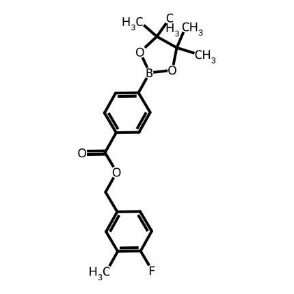 Cc1cc(COC(=O)c2ccc(B3OC(C)(C)C(C)(C)O3)cc2)ccc1F